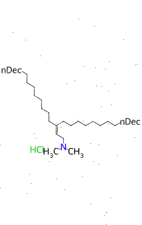 CCCCCCCCCCCCCCCCCCC(=CCN(C)C)CCCCCCCCCCCCCCCCCC.Cl